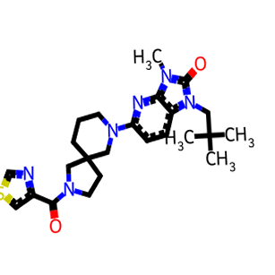 Cn1c(=O)n(CC(C)(C)C)c2ccc(N3CCCC4(CCN(C(=O)c5cscn5)C4)C3)nc21